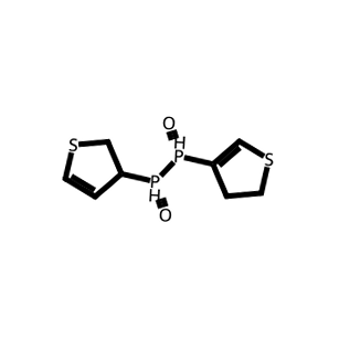 O=[PH](C1=CSCC1)[PH](=O)C1C=CSC1